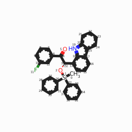 C[Si](O[C@H](C(=O)c1cccc(F)c1)c1cccc2c1[nH]c1ccccc12)(c1ccccc1)c1ccccc1